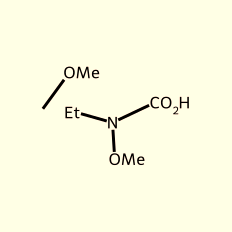 CCN(OC)C(=O)O.COC